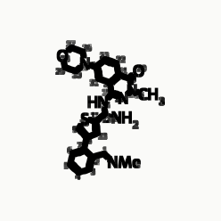 CNCc1ccccc1-c1csc([C@@H](N)Nc2nn(C)c(=O)c3ccc(N4CCOCC4)cc23)c1